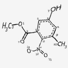 COC(=O)c1cc(O)cc(C)c1[N+](=O)[O-]